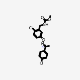 COC(=O)NCc1cc(O/N=C(\C)c2ccc(Cl)cc2)ccc1Cl